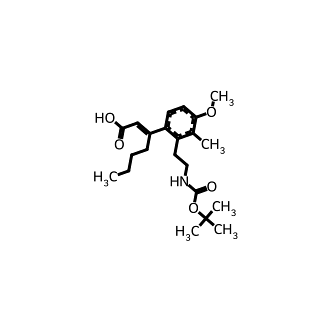 CCCC/C(=C\C(=O)O)c1ccc(OC)c(C)c1CCNC(=O)OC(C)(C)C